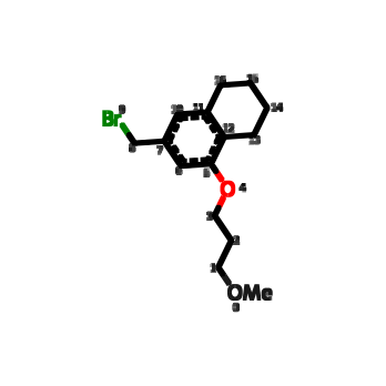 COCCCOc1cc(CBr)cc2c1CCCC2